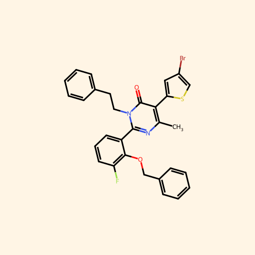 Cc1nc(-c2cccc(F)c2OCc2ccccc2)n(CCc2ccccc2)c(=O)c1-c1cc(Br)cs1